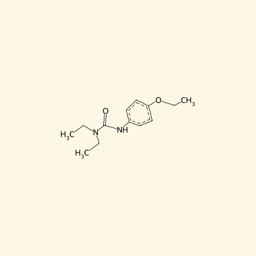 CCOc1ccc(NC(=O)N(CC)CC)cc1